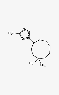 Cc1cn(C2CCCCCC(C)(C)CC2)cn1